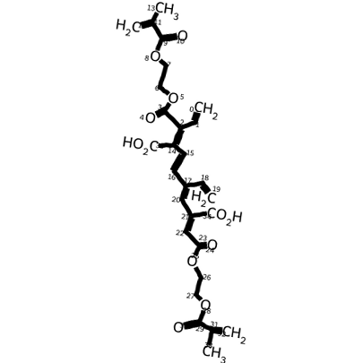 C=C\C(C(=O)OCCOC(=O)C(=C)C)=C(/C=C/C(C=C)=C/C(=C/C(=O)OCCOC(=O)C(=C)C)C(=O)O)C(=O)O